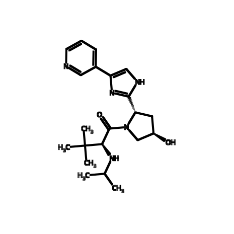 CC(C)N[C@H](C(=O)N1C[C@H](O)C[C@H]1c1nc(-c2cccnc2)c[nH]1)C(C)(C)C